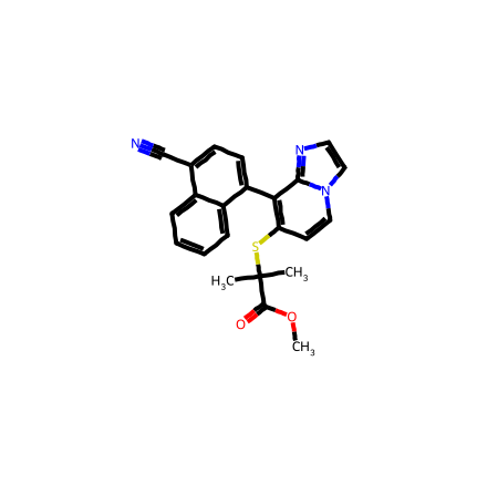 COC(=O)C(C)(C)Sc1ccn2ccnc2c1-c1ccc(C#N)c2ccccc12